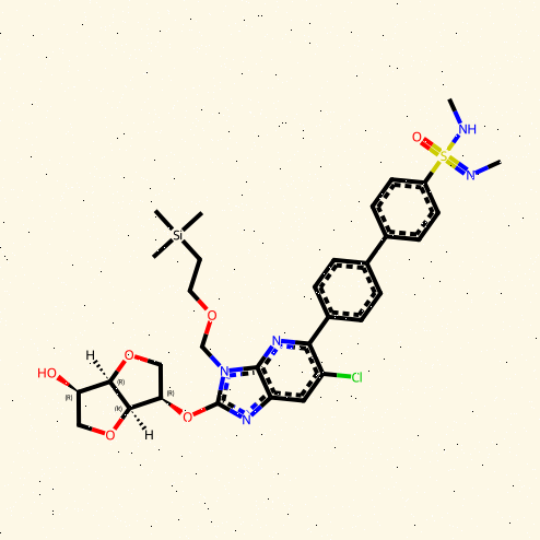 CN=S(=O)(NC)c1ccc(-c2ccc(-c3nc4c(cc3Cl)nc(O[C@@H]3CO[C@H]5[C@@H]3OC[C@H]5O)n4COCC[Si](C)(C)C)cc2)cc1